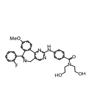 COc1ccc2c(c1)C(c1ccccc1F)=NCc1cnc(Nc3ccc(C(=O)N(CCO)CCO)cc3)nc1-2